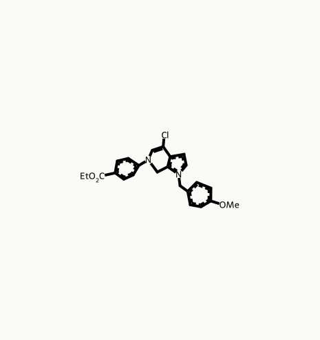 CCOC(=O)c1ccc(N2C=C(Cl)c3ccn(Cc4ccc(OC)cc4)c3C2)cc1